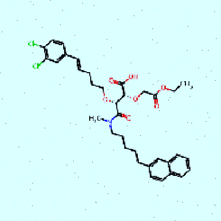 CCOC(=O)CO[C@@H](C(=O)O)[C@@H](OCCC/C=C/c1ccc(Cl)c(Cl)c1)C(=O)N(C)CCCCCc1ccc2ccccc2c1